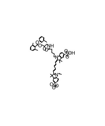 CC[N+]1=C(/C=C/C=C/C=C2/N(CCCCC(=O)N[C@@H](Cc3ccccc3)C(=O)COC(=O)c3c(C)cccc3C)c3ccc(S(=O)(=O)O)cc3C2(C)C)C(C)(C)c2cc(S(=O)(=O)[O-])ccc21